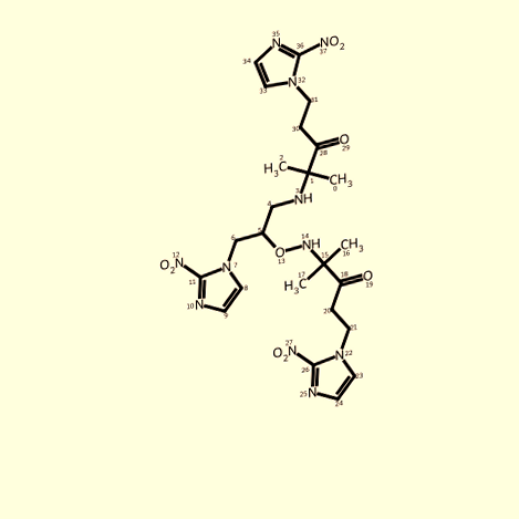 CC(C)(NCC(Cn1ccnc1[N+](=O)[O-])ONC(C)(C)C(=O)CCn1ccnc1[N+](=O)[O-])C(=O)CCn1ccnc1[N+](=O)[O-]